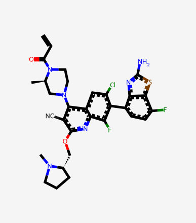 C=CC(=O)N1CCN(c2c(C#N)c(OC[C@@H]3CCCN3C)nc3c(F)c(-c4ccc(F)c5sc(N)nc45)c(Cl)cc23)C[C@H]1C